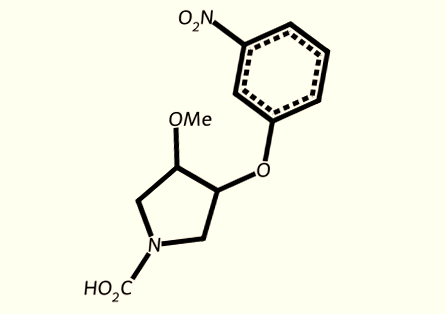 COC1CN(C(=O)O)CC1Oc1cccc([N+](=O)[O-])c1